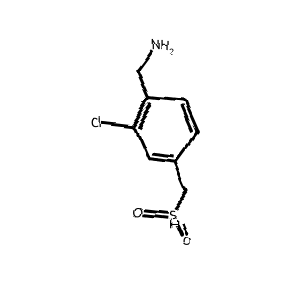 NCc1ccc(C[SH](=O)=O)cc1Cl